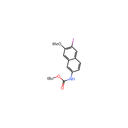 COc1cc2cc(NC(=O)OC(C)(C)C)ccc2cc1I